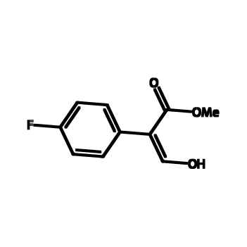 COC(=O)C(=CO)c1ccc(F)cc1